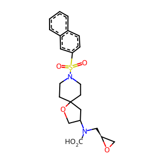 O=C(O)N(C[C@H]1CO1)C1COC2(CCN(S(=O)(=O)c3ccc4ccccc4c3)CC2)C1